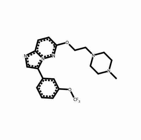 CN1CCN(CCOc2ccc3ncc(-c4cccc(OC(F)(F)F)c4)n3n2)CC1